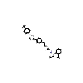 CC(C)c1ccccc1N1C(=O)CS/C1=N\C(=S)NCCc1ccc(-c2ncn(-c3ccc(C(F)(F)F)cc3)n2)cc1